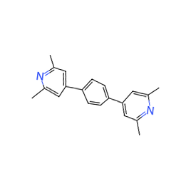 Cc1cc(-c2ccc(-c3cc(C)nc(C)c3)cc2)cc(C)n1